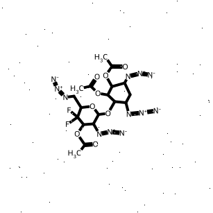 CC(=O)OC1C(N=[N+]=[N-])CC(N=[N+]=[N-])C(OC2OC(CN=[N+]=[N-])C(F)(F)C(OC(C)=O)C2N=[N+]=[N-])C1OC(C)=O